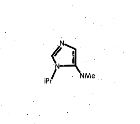 CNc1cncn1C(C)C